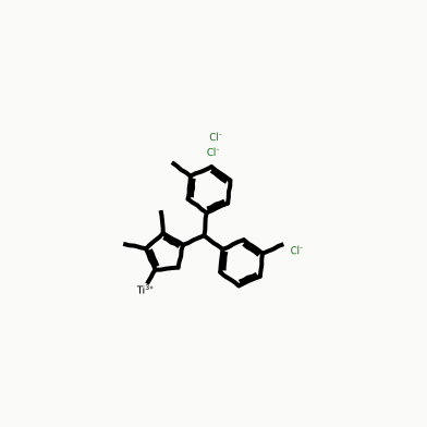 CC1=[C]([Ti+3])CC(C(c2cccc(C)c2)c2cccc(C)c2)=C1C.[Cl-].[Cl-].[Cl-]